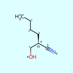 CCCC[C@@H](C#N)CO